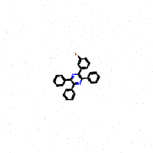 Brc1cccc(-c2nc(-c3ccccc3)c(-c3ccccc3)nc2-c2ccccc2)c1